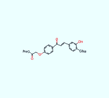 COC(=O)COc1ccc(C(=O)C=Cc2ccc(OC)c(O)c2)cc1